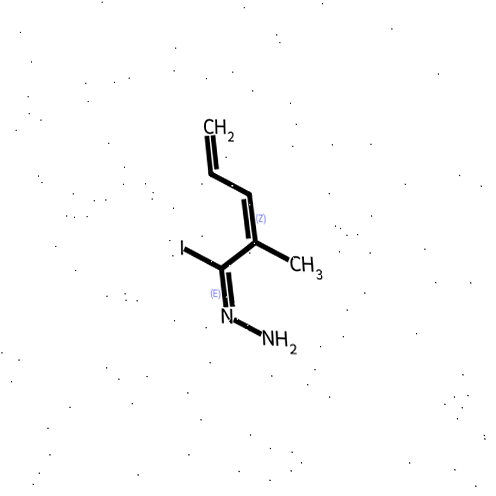 C=C/C=C(C)\C(I)=N/N